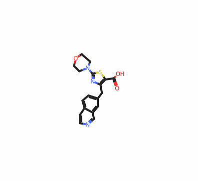 O=C(O)c1sc(N2CCOCC2)nc1Cc1ccc2ccncc2c1